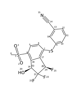 CS(=O)(=O)c1ccc(Sc2cccc(C#N)c2)c2c1[C@H](O)C(F)(F)[C@@H]2F